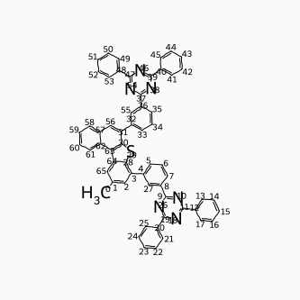 Cc1cc(-c2cccc(-c3nc(-c4ccccc4)nc(-c4ccccc4)n3)c2)c2sc3c(-c4cccc(-c5nc(-c6ccccc6)nc(-c6ccccc6)n5)c4)cc4ccccc4c3c2c1